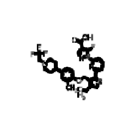 CCc1csc(-c2cccc(-n3ncc(C(=O)O)c3F)n2)c1COc1ccc(C2CCN(CC(F)(F)F)CC2)cc1C